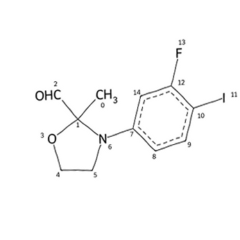 CC1(C=O)OCCN1c1ccc(I)c(F)c1